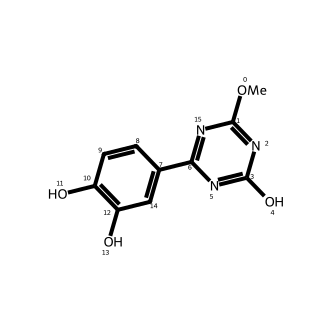 COc1nc(O)nc(-c2ccc(O)c(O)c2)n1